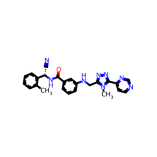 Cc1ccccc1[C@H](C#N)NC(=O)c1cccc(NCc2nnc(-c3ccncn3)n2C)c1